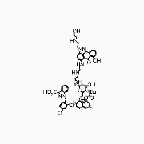 CC[C@H](C)C(=O)O[C@H]1C[C@@H](C)C=C2C=C[C@H](C)[C@H](CC[C@@H]3C[C@@H](O)CC(=O)O3)[C@H]21.O=C(O)c1nn(Cc2ccc(Cl)cc2Cl)c2ccccc12.O=C1c2c(O)cccc2-c2nn(CCNCCO)c3ccc(NCCNCCO)c1c23